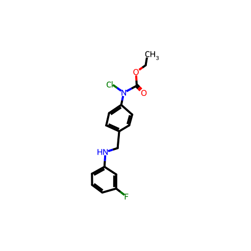 CCOC(=O)N(Cl)c1ccc(CNc2cccc(F)c2)cc1